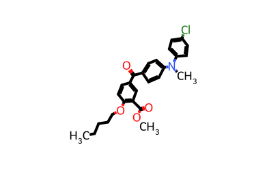 CCCCCOc1ccc(C(=O)c2ccc(N(C)c3ccc(Cl)cc3)cc2)cc1C(=O)OC